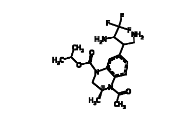 CC(=O)N1c2ccc(C(CN)C(N)C(F)(F)F)cc2N(C(=O)OC(C)C)C[C@@H]1C